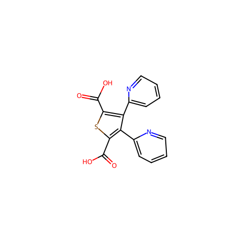 O=C(O)c1sc(C(=O)O)c(-c2ccccn2)c1-c1ccccn1